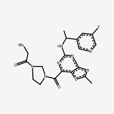 Cc1nc2nc(NC(C)c3cncc(F)c3)nc(C(=O)N3CCN(C(=O)CC(C)(C)C)C3)c2s1